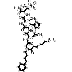 COCCOCCC(=O)N(CCCCc1ccccc1)CC(=O)N[C@@H](CC(C)C)C(=O)N[C@@H](Cc1cnc[nH]1)C(=O)N[C@@H](CO)C(=O)N[C@H](C(N)=O)[C@@H](C)OP(=O)(O)O